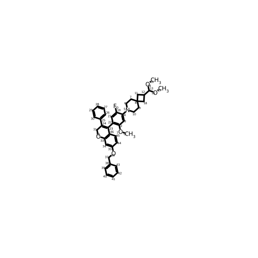 COc1cc(N2CCC3(CC2)CC(C(OC)OC)C3)c(F)cc1C1=C(c2ccccc2)COc2cc(OCc3ccccc3)ccc21